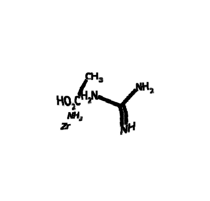 CC(=O)O.N.N=C(N)N.[Zr]